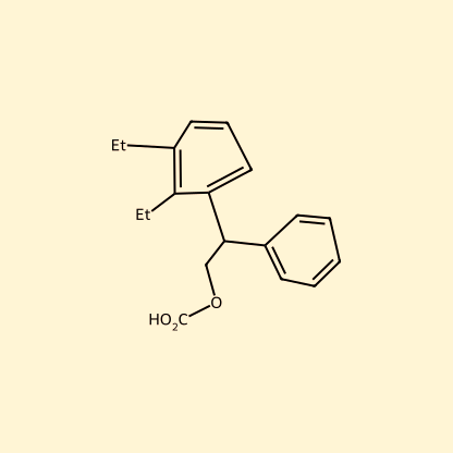 CCc1cccc(C(COC(=O)O)c2ccccc2)c1CC